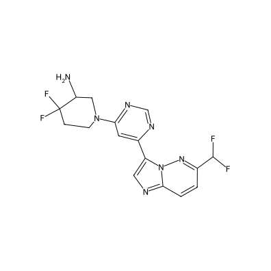 NC1CN(c2cc(-c3cnc4ccc(C(F)F)nn34)ncn2)CCC1(F)F